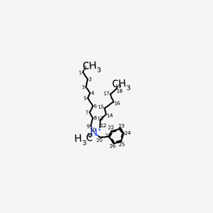 CCCCCCCCCC[N+](C)(CCCCCCCC)Cc1ccccc1